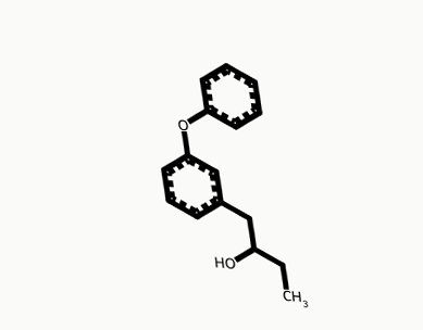 CCC(O)Cc1cccc(Oc2ccccc2)c1